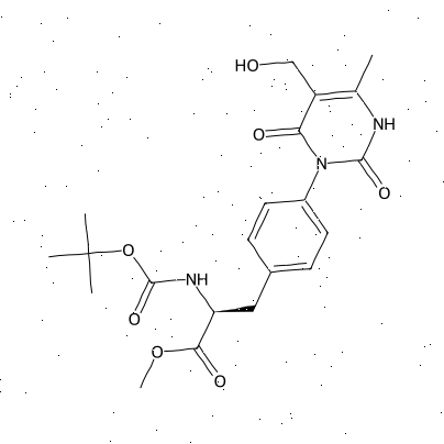 COC(=O)[C@H](Cc1ccc(-n2c(=O)[nH]c(C)c(CO)c2=O)cc1)NC(=O)OC(C)(C)C